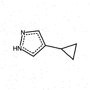 c1n[nH]cc1[C]1CC1